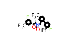 CC(C)c1cc(-c2ccc(C(F)(F)F)cc2CN2C(=O)O[C@H](c3cc(F)cc(C(F)(F)F)c3)[C@@H]2C)ccc1F